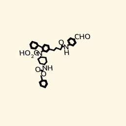 O=Cc1ccc(NC(=O)CCCc2ccc(-c3ccccc3)c(N(C(=O)O)[C@H]3CC[C@H](NC(=O)OCc4ccccc4)CC3)c2)cc1